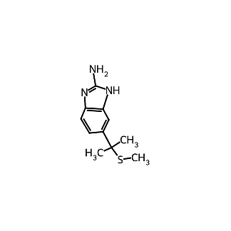 CSC(C)(C)c1ccc2nc(N)[nH]c2c1